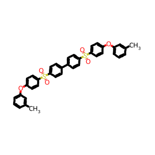 Cc1cccc(Oc2ccc(S(=O)(=O)c3ccc(-c4ccc(S(=O)(=O)c5ccc(Oc6cccc(C)c6)cc5)cc4)cc3)cc2)c1